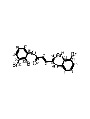 O=C(C=CC(=O)Oc1cccc(Br)c1Br)Oc1cccc(Br)c1Br